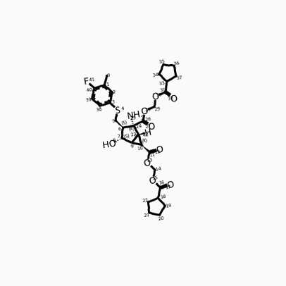 Cc1cc(SC[C@@H]2[C@@H](O)C3[C@H](C(=O)OCOC(=O)C4CCCC4)[C@H]3[C@]2(N)C(=O)OCOC(=O)C2CCCC2)ccc1F